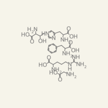 CC(O)C(N)C(=O)O.N=C(N)NCCCC(N)C(=O)O.NC(Cc1c[nH]cn1)C(=O)O.NC(Cc1ccccc1)C(=O)O.NCC(=O)O